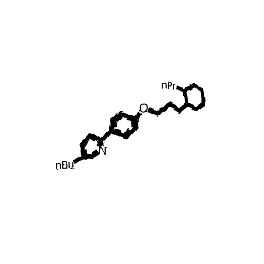 CCCCc1ccc(-c2ccc(OCCCC3CCCCC3CCC)cc2)nc1